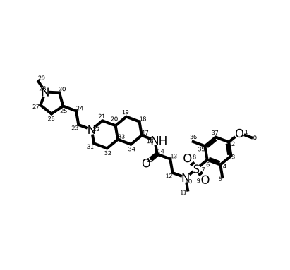 COc1cc(C)c(S(=O)(=O)N(C)CCC(=O)NC2CCC3CN(CCC4CCN(C)C4)CCC3C2)c(C)c1